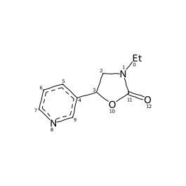 CCN1CC(c2cccnc2)OC1=O